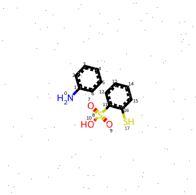 Nc1ccccc1.O=S(=O)(O)c1ccccc1S